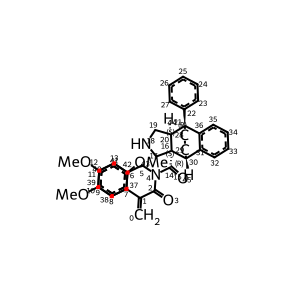 C=C(C(=O)N(Cc1ccc(OC)c(OC)c1)C(=O)[C@]12CNC[C@H]1[C@@]1(c3ccccc3)CC[C@@H]2c2ccccc21)c1ccccc1OC